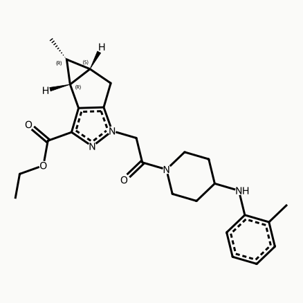 CCOC(=O)c1nn(CC(=O)N2CCC(Nc3ccccc3C)CC2)c2c1[C@@H]1[C@H](C)[C@@H]1C2